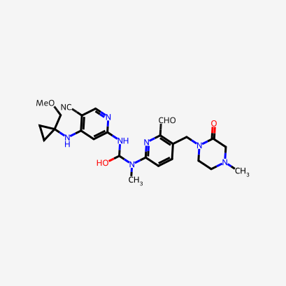 COCC1(Nc2cc(NC(O)N(C)c3ccc(CN4CCN(C)CC4=O)c(C=O)n3)ncc2C#N)CC1